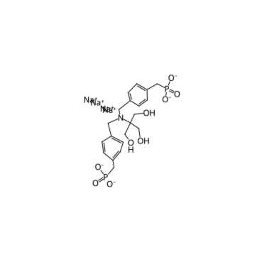 O=P([O-])([O-])Cc1ccc(CN(Cc2ccc(CP(=O)([O-])[O-])cc2)C(CO)(CO)CO)cc1.[Na+].[Na+].[Na+].[Na+]